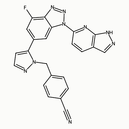 N#Cc1ccc(Cn2nccc2-c2cc(F)c3nnn(-c4ccc5cn[nH]c5n4)c3c2)cc1